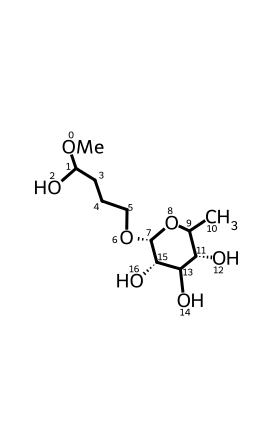 COC(O)CCCO[C@@H]1OC(C)[C@H](O)C(O)[C@@H]1O